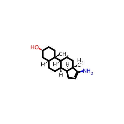 C[C@]12CC[C@H](O)C[C@@H]1CC[C@@H]1[C@@H]2CC[C@]2(C)C(N)=CC[C@@H]12